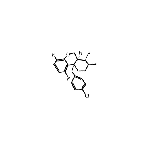 C[C@H]1CC[C@@]2(Cc3ccc(Cl)cc3)c3c(F)ccc(F)c3OC[C@H]2[C@@H]1F